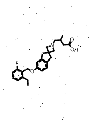 CCc1cccc(F)c1COc1ccc2c(c1)CC1(C2)CN(CC(C)CC(=O)O)C1